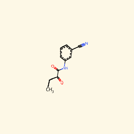 CCC(=O)C(=O)Nc1cccc(C#N)c1